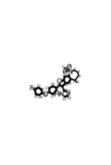 CC1CCCN(S(C)(=O)=O)c2cc3oc(-c4ccc(Oc5ccc(F)cc5)cc4)c(-c4ncc[nH]4)c3cc21